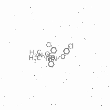 CN(C)CCN(c1ccccc1NCCOc1ccc(Cl)cc1)S(=O)(=O)c1cccc(Cl)c1